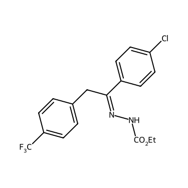 CCOC(=O)NN=C(Cc1ccc(C(F)(F)F)cc1)c1ccc(Cl)cc1